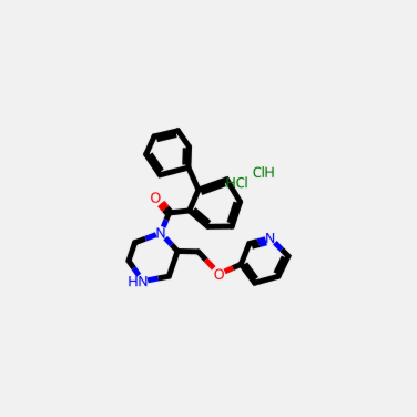 Cl.Cl.O=C(c1ccccc1-c1ccccc1)N1CCNCC1COc1cccnc1